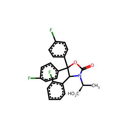 C[C@@H](C(=O)O)N1C(=O)OC(c2ccc(F)cc2)(c2ccc(F)cc2)C1c1ccccc1F